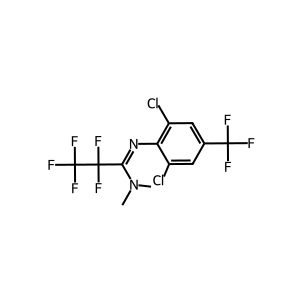 CN(C)/C(=N\c1c(Cl)cc(C(F)(F)F)cc1Cl)C(F)(F)C(F)(F)F